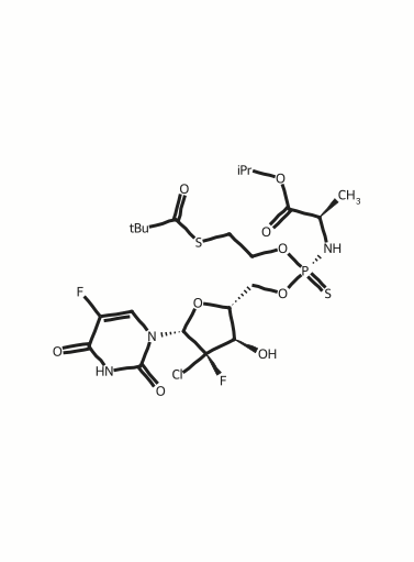 CC(C)OC(=O)[C@@H](C)N[P@@](=S)(OCCSC(=O)C(C)(C)C)OC[C@H]1O[C@@H](n2cc(F)c(=O)[nH]c2=O)[C@@](F)(Cl)[C@@H]1O